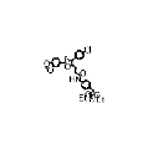 CCOP(=O)(Cc1ccc(NC(=O)CCc2oc(-c3ccc4c(c3)OCO4)nc2-c2ccc(Cl)cc2)cc1)OCC